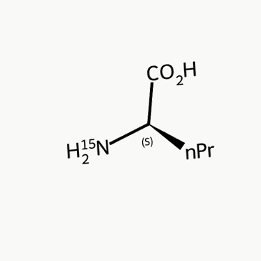 CC[13CH2][C@@H]([15NH2])C(=O)O